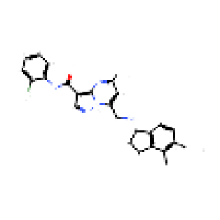 Cc1c(C(=O)O)ccc2c1CC[C@@H]2NCc1cc(C(=O)O)nc2c(C(=O)Nc3ccccc3Cl)cnn12